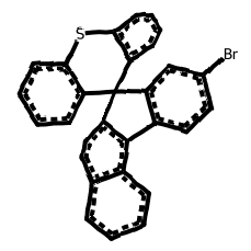 Brc1ccc2c(c1)C1(c3ccccc3Sc3ccccc31)c1ccc3ccccc3c1-2